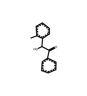 [CH2]c1ccccc1C(O)C(=O)c1ccccc1